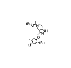 C=C(OC(C)(C)C)N1CCc2[nH]nc(COc3cc(C)c(Cl)cc3C(C)(C)C)c2C1